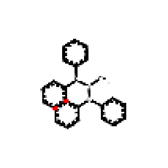 CN(P(c1ccccc1)c1ccccc1)P(c1ccccc1)c1ccccc1